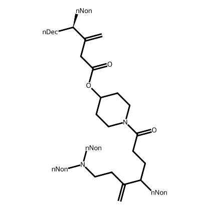 C=C(CCN(CCCCCCCCC)CCCCCCCCC)C(CCCCCCCCC)CCC(=O)N1CCC(OC(=O)CC(=C)[C@H](CCCCCCCCC)CCCCCCCCCC)CC1